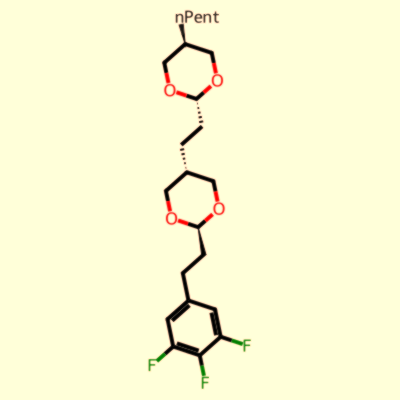 CCCCC[C@H]1CO[C@H](CC[C@H]2CO[C@H](CCc3cc(F)c(F)c(F)c3)OC2)OC1